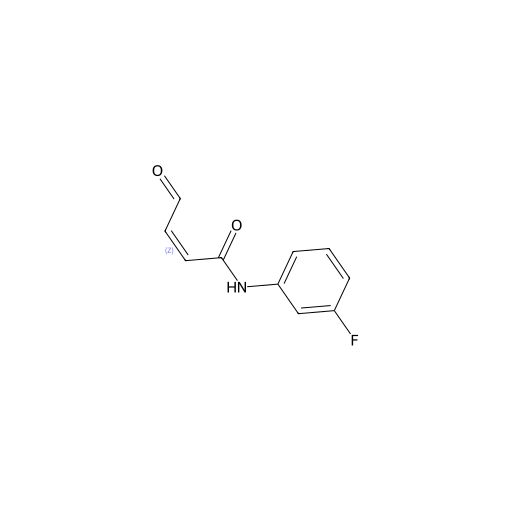 O=C/C=C\C(=O)Nc1cccc(F)c1